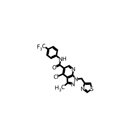 Cc1nn(Cc2cscn2)c2ncc(C(=O)Nc3ccc(C(F)(F)F)cc3)c(Cl)c12